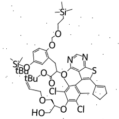 C=CCOC[C@H](CO)Oc1c(Cl)c(C)c(-c2c(C3=CCCC3)sc3ncnc(OC(Cc4cc(O[Si](C)(C)C(C)(C)C)ccc4OCOCC[Si](C)(C)C)C(=O)OC(C)(C)C)c23)c(C)c1Cl